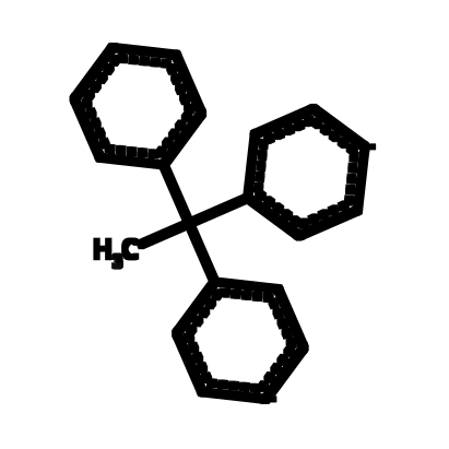 CC(c1cc[c]cc1)(c1cc[c]cc1)c1ccccc1